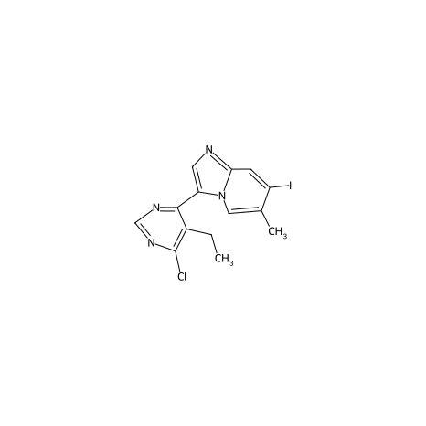 CCc1c(Cl)ncnc1-c1cnc2cc(I)c(C)cn12